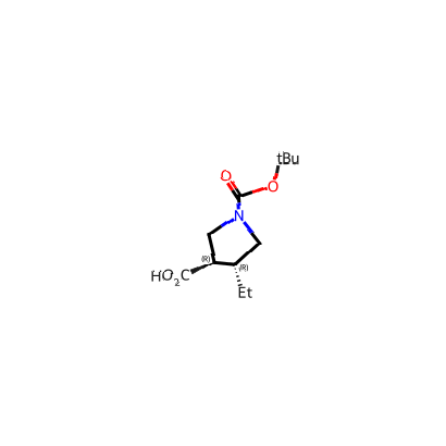 CC[C@H]1CN(C(=O)OC(C)(C)C)C[C@@H]1C(=O)O